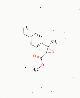 CCc1ccc(C2(C)OC2C(=O)OC)cc1